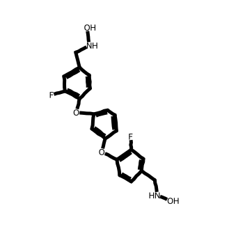 ONCc1ccc(Oc2cccc(Oc3ccc(CNO)cc3F)c2)c(F)c1